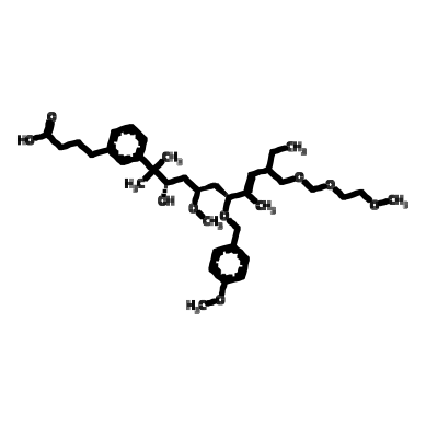 CCC(C=C(C)[C@H](C[C@H](C[C@H](O)C(C)(C)c1cccc(CCCC(=O)O)c1)OC)OCc1ccc(OC)cc1)COCOCCOC